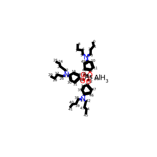 CCCCN(CCCC)c1ccc(O[As](=O)(Oc2ccc(N(CCCC)CCCC)cc2)Oc2ccc(N(CCCC)CCCC)cc2)cc1.[AlH3]